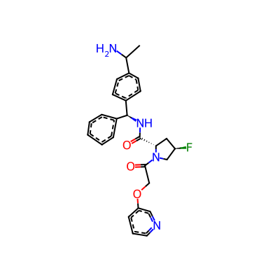 CC(N)c1ccc([C@@H](NC(=O)[C@@H]2C[C@@H](F)CN2C(=O)COc2cccnc2)c2ccccc2)cc1